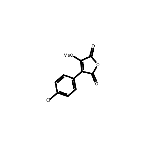 COC1=C(c2ccc(Cl)cc2)C(=O)OC1=O